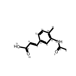 CC(=O)Nc1cc(C=CC(=O)O)ccc1C